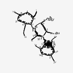 CCCCC1=C(CCCC)N(c2c(C)cc(C)cc2C)C(C)N1c1c(C)cc(C)cc1C